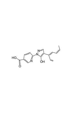 C=C/C(=C\C=C/C)c1cnn(-c2ccc(C(=O)O)cn2)c1O